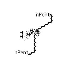 CCCCC/C=C\C/C=C\CCCCCCCC(=O)NN(CCN(C)C)C(=O)CCCCCCC/C=C\C/C=C\CCCCC